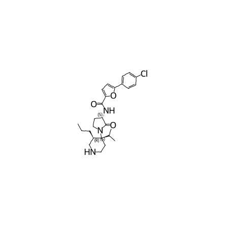 CCC[C@@H]1CNCC[C@@]1(C(C)C)N1CC[C@H](NC(=O)c2ccc(-c3ccc(Cl)cc3)o2)C1=O